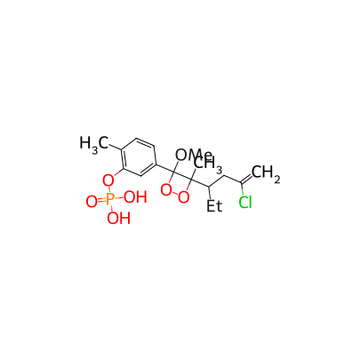 C=C(Cl)CC(CC)C1(C)OOC1(OC)c1ccc(C)c(OP(=O)(O)O)c1